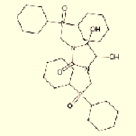 O=C1N(CP(=O)(C2CCCCC2)C2CCCCC2)C(O)C(O)N1CP(=O)(C1CCCCC1)C1CCCCC1